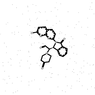 O=CC([C@@H]1c2ccccc2C(=O)N1c1ccc2ccc(Cl)nc2n1)N1CCC(=O)CC1